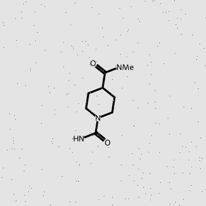 CNC(=O)C1CCN(C([NH])=O)CC1